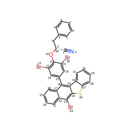 N#C[C@@H](Cc1ccccc1)Oc1c(Br)cc(-c2c3ccccc3c(Br)c3sc4ccccc4c23)cc1Br